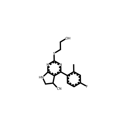 Cc1cc(F)ccc1-c1nc(SCCO)nc2c1C(C#N)CN2